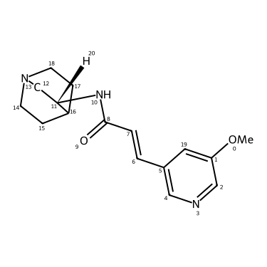 COc1cncc(/C=C/C(=O)N[C@H]2CN3CCC2CC3)c1